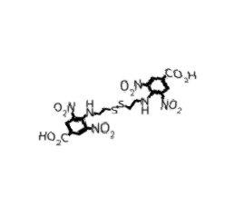 O=C(O)c1cc([N+](=O)[O-])c(NCCSSCCNc2c([N+](=O)[O-])cc(C(=O)O)cc2[N+](=O)[O-])c([N+](=O)[O-])c1